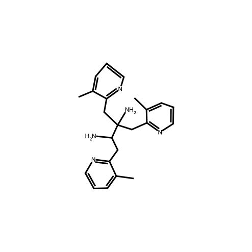 Cc1cccnc1CC(N)C(N)(Cc1ncccc1C)Cc1ncccc1C